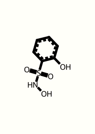 O=S(=O)(NO)c1ccccc1O